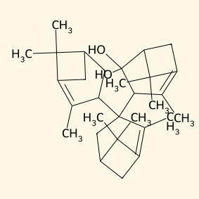 CC1=C2CC(CC1C1(C3C(C)=C4CC(C4(C)C)C3(O)O)CC3CC(=C1C)C3(C)C)C2(C)C